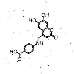 O=C(O)c1ccc(NCc2cc(=O)oc3cc(O)c(O)cc23)cc1